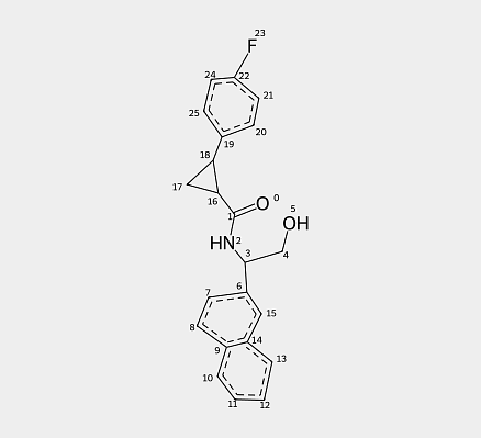 O=C(NC(CO)c1ccc2ccccc2c1)C1CC1c1ccc(F)cc1